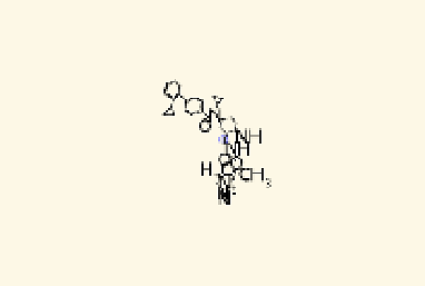 CC(C)(CN=[N+]=[N-])OC(=O)N/C=C1/CC(N(C(=O)c2ccc(-c3ccccc3C3CC3)cc2)C2CC2)CCC1=N